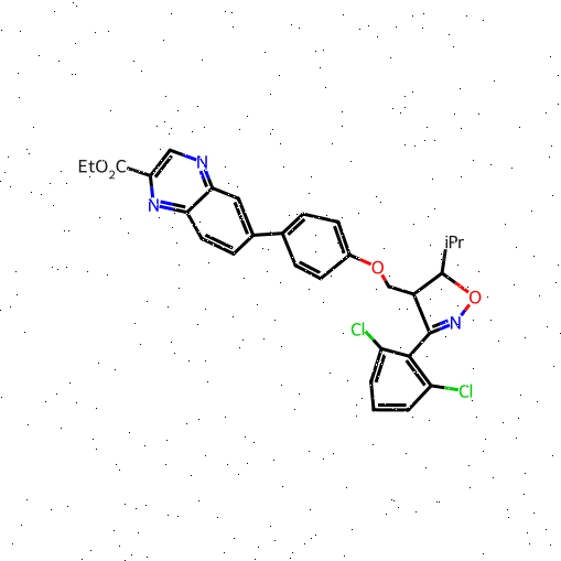 CCOC(=O)c1cnc2cc(-c3ccc(OCC4C(c5c(Cl)cccc5Cl)=NOC4C(C)C)cc3)ccc2n1